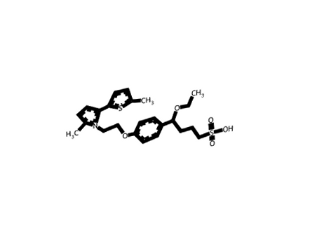 CCOC(CCCS(=O)(=O)O)c1ccc(OCCn2c(C)ccc2-c2ccc(C)s2)cc1